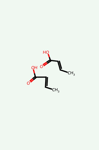 CC=CC(=O)O.CC=CC(=O)O